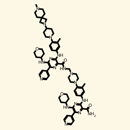 Cc1cc(Nc2nc(NC3CCOCC3)c(-c3ccncc3)nc2C(=O)NCN2CCN(c3ccc(Nc4nc(NC5CCOCC5)c(-c5ccncc5)nc4C(N)=O)cc3C)CC2)ccc1N1CCC(N2CC3(CCN(C)CC3)C2)CC1